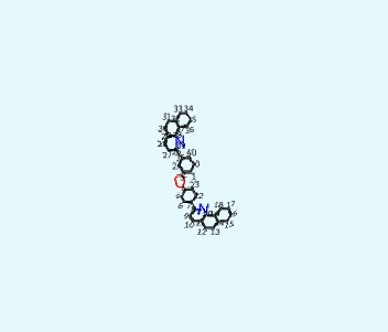 c1cc(Oc2ccc(-c3ccc4ccc5ccccc5c4n3)cc2)cc(-c2ccc3ccc4ccccc4c3n2)c1